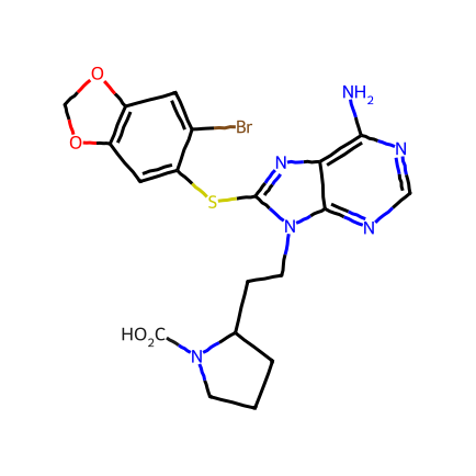 Nc1ncnc2c1nc(Sc1cc3c(cc1Br)OCO3)n2CCC1CCCN1C(=O)O